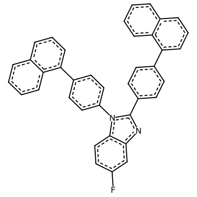 Fc1ccc2c(c1)nc(-c1ccc(-c3cccc4ccccc34)cc1)n2-c1ccc(-c2cccc3ccccc23)cc1